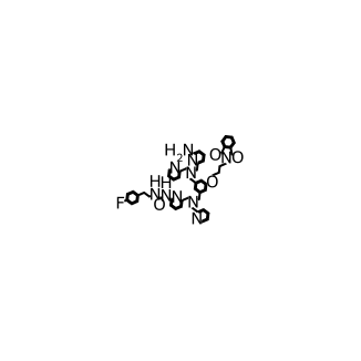 Nc1cccc(CN(Cc2cc(CN(Cc3ccccn3)Cc3cccc(NC(=O)NCCc4ccc(F)cc4)n3)cc(OCCCCN3C(=O)c4ccccc4C3=O)c2)Cc2ccccn2)n1